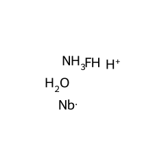 F.N.O.[H+].[Nb]